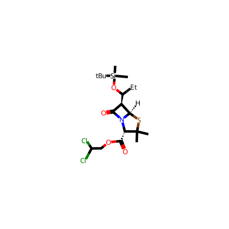 CCC(O[Si](C)(C)C(C)(C)C)[C@@H]1C(=O)N2[C@@H]1SC(C)(C)[C@@H]2C(=O)OCC(Cl)Cl